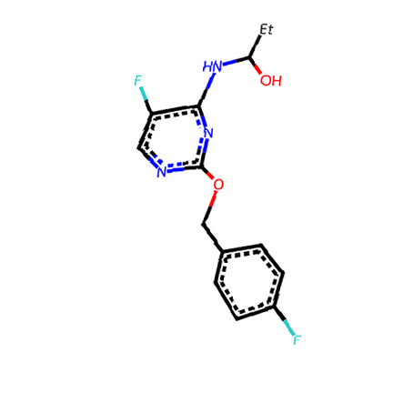 CCC(O)Nc1nc(OCc2ccc(F)cc2)ncc1F